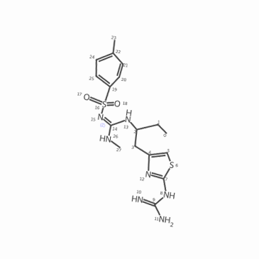 CCC(Cc1csc(NC(=N)N)n1)N/C(=N\S(=O)(=O)c1ccc(C)cc1)NC